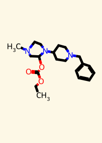 CCOC(=O)OC1CN(C)CCN1C1CCN(Cc2ccccc2)CC1